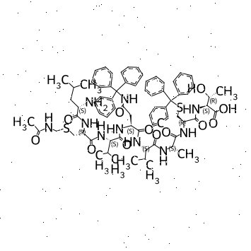 CC(=O)NCSC[C@H](NC(=O)[C@@H](N)CC(C)C)C(=O)N[C@H](C(=O)N[C@@H](CC(=O)NC(c1ccccc1)(c1ccccc1)c1ccccc1)C(=O)N[C@H](C(=O)N[C@@H](C)C(=O)N[C@@H](CSC(c1ccccc1)(c1ccccc1)c1ccccc1)C(=O)N[C@H](C(=O)O)[C@@H](C)O)C(C)C)C(C)C